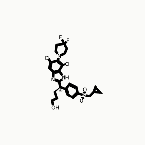 O=S(=O)(CC1CC1)c1ccc([C@@H](CCCO)c2nc3cc(Cl)c(N4CCC(F)(F)CC4)c(Cl)c3[nH]2)cc1